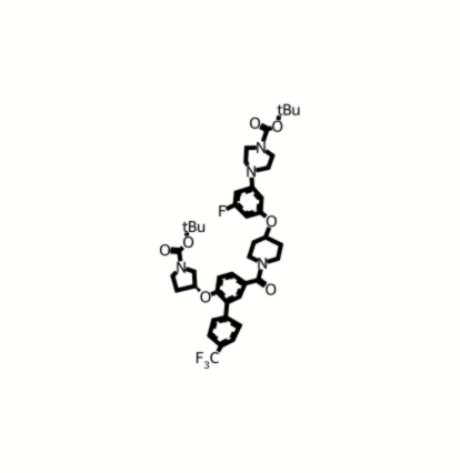 CC(C)(C)OC(=O)N1CCN(c2cc(F)cc(OC3CCN(C(=O)c4ccc(O[C@H]5CCN(C(=O)OC(C)(C)C)C5)c(-c5ccc(C(F)(F)F)cc5)c4)CC3)c2)CC1